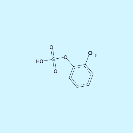 Cc1ccccc1OS(=O)(=O)O